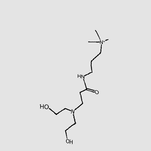 C[N+](C)(C)CCCNC(=O)CCN(CCO)CCO